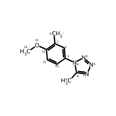 [CH2]c1cc(-n2nnnc2C)ccc1OC